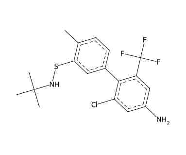 Cc1ccc(-c2c(Cl)cc(N)cc2C(F)(F)F)cc1SNC(C)(C)C